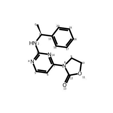 C[C@H](Nc1nccc(N2CCOC2=O)n1)c1ccccc1